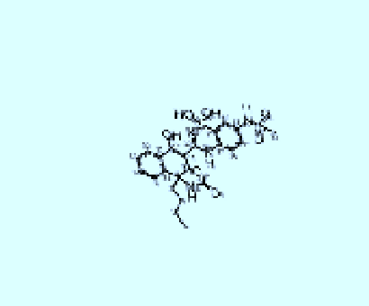 CCCCC1(NC(C)=O)C(=O)C(C2=NS(O)(O)c3cc(NS(C)(=O)=O)ccc3N2)=C(O)c2ccccc21